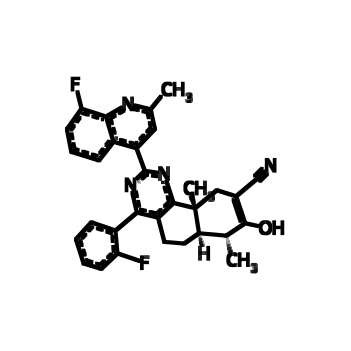 Cc1cc(-c2nc(-c3ccccc3F)c3c(n2)[C@]2(C)CC(C#N)=C(O)[C@H](C)[C@H]2CC3)c2cccc(F)c2n1